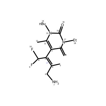 C=C1C(/C(=C(\C)CN)C(F)F)=C(C)N(CCCC)C(=O)N1CC